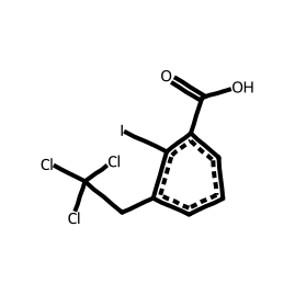 O=C(O)c1cccc(CC(Cl)(Cl)Cl)c1I